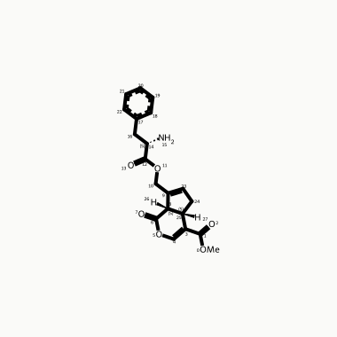 COC(=O)C1=COC(=O)[C@@H]2C(COC(=O)[C@@H](N)Cc3ccccc3)=CC[C@H]12